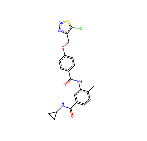 Cc1ccc(C(=O)NC2CC2)cc1NC(=O)c1ccc(OCc2nnsc2Cl)cc1